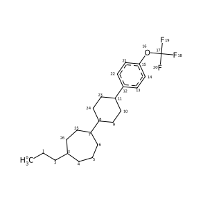 CCCC1CCCC(C2CCC(c3ccc(OC(F)(F)F)cc3)CC2)CC1